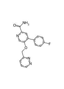 NC(=O)c1cc(-c2ccc(F)cc2)c(OCc2cccnn2)cn1